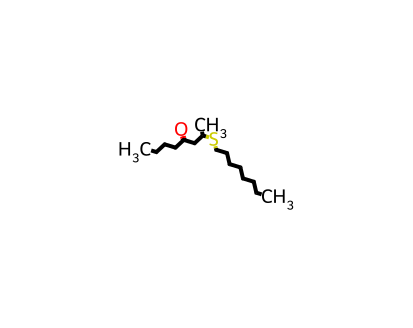 CCCCCCCCSC(C)CC(=O)CCCC